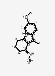 COc1ccc2c(C)c3c(n2c1)CCCC3=NO